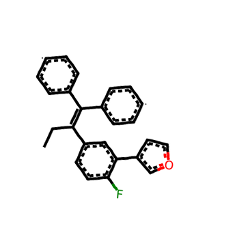 CCC(=C(c1cc[c]cc1)c1cc[c]cc1)c1ccc(F)c(-c2ccoc2)c1